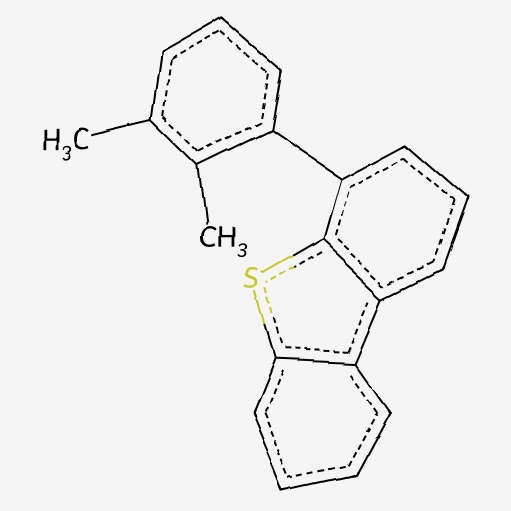 Cc1cccc(-c2cccc3c2sc2ccccc23)c1C